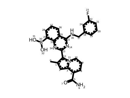 Cc1cc2c(C(N)=O)cccn2c1-c1nc(NCc2cccc(F)c2)c2cccc(B(O)O)c2n1